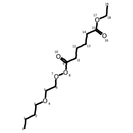 CCCCOCCOOC(=O)CCCCC(=O)OCC